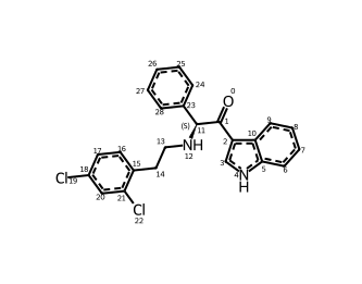 O=C(c1c[nH]c2ccccc12)[C@@H](NCCc1ccc(Cl)cc1Cl)c1ccccc1